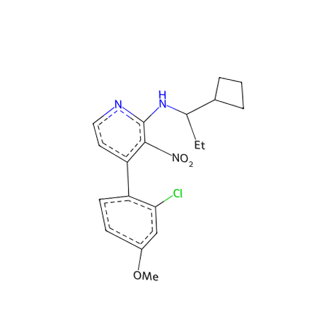 CCC(Nc1nccc(-c2ccc(OC)cc2Cl)c1[N+](=O)[O-])C1CCC1